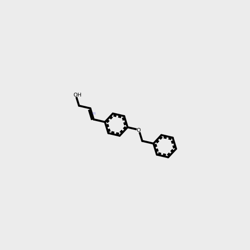 OC/C=C/c1ccc(OCc2ccccc2)cc1